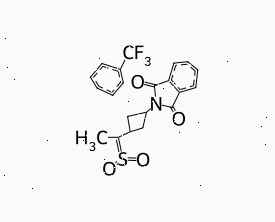 CC(C1CC(N2C(=O)c3ccccc3C2=O)C1)=S(=O)=O.FC(F)(F)c1ccccc1